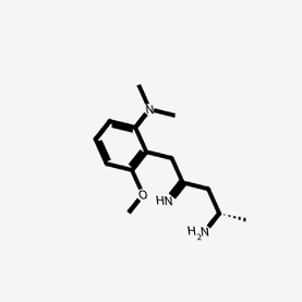 COc1cccc(N(C)C)c1CC(=N)C[C@H](C)N